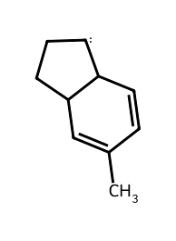 CC1=CC2CC[C]C2C=C1